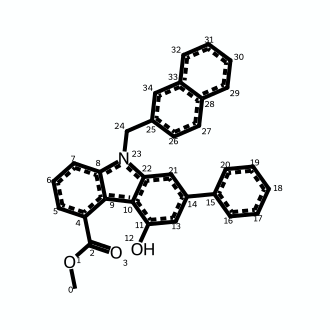 COC(=O)c1cccc2c1c1c(O)cc(-c3ccccc3)cc1n2Cc1ccc2ccccc2c1